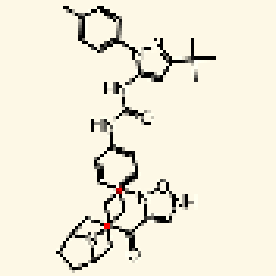 Cc1ccc(-n2nc(C(C)(C)C)cc2NC(=O)Nc2ccc(CC3CC4CCC(C3)N4C3CCN4ONC=C4C3=O)cc2)cc1